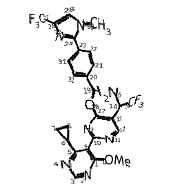 COc1ncnc(C2CC2)c1-c1ncc(C(N)C(F)(F)F)c(OCc2ccc(-c3nc(C(F)(F)F)cn3C)cc2)n1